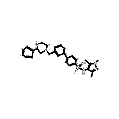 Cc1nn(C)c(C)c1NS(=O)(=O)c1ccc(-c2cccc(CN3CCNC(c4ccccc4)C3)c2)cc1